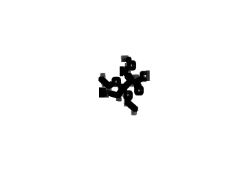 CCOC(CBr)(OCC)/C(=N/OC)C(=O)Cl